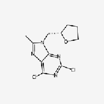 Cc1nc2c(Cl)nc(Cl)nc2n1C[C@@H]1CCCO1